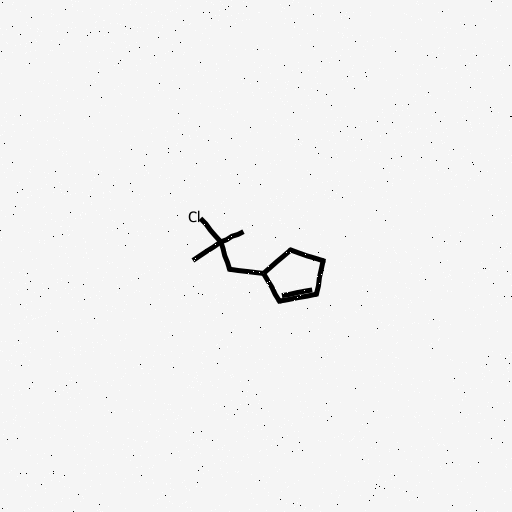 CC(C)(Cl)CC1C=CCC1